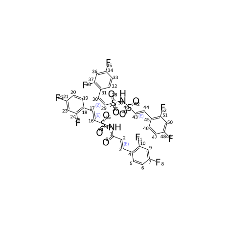 O=C(/C=C/c1ccc(F)cc1F)NS(=O)(=O)/C=C/c1ccc(F)cc1F.O=S(=O)(/C=C\c1ccc(F)cc1F)NS(=O)(=O)/C=C/c1ccc(F)cc1F